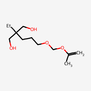 C=C(C)OCOCCCC(CC)(CO)CO